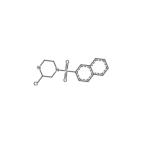 O=S(=O)(c1ccc2ccccc2c1)N1CC[N]C(Cl)C1